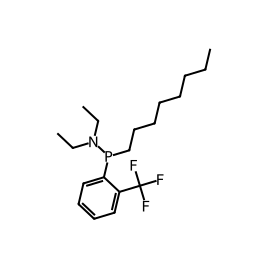 CCCCCCCCP(c1ccccc1C(F)(F)F)N(CC)CC